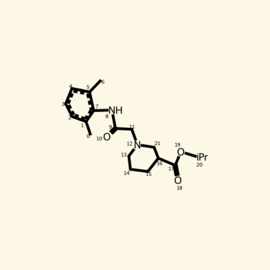 Cc1cccc(C)c1NC(=O)CN1CCCC(C(=O)OC(C)C)C1